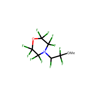 COC(F)(F)C(F)N1C(F)(F)C(F)(F)OC(F)(F)C1(F)F